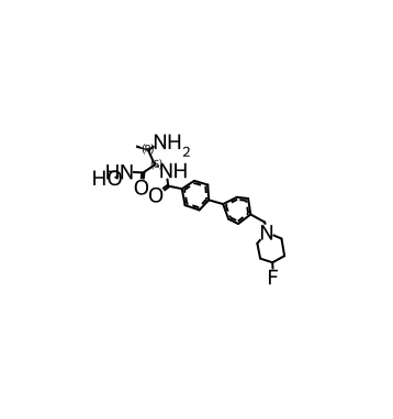 C[C@@H](N)[C@H](NC(=O)c1ccc(-c2ccc(CN3CCC(F)CC3)cc2)cc1)C(=O)NO